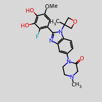 COc1cc(-c2nc3cc(N4CCN(C)CC4=O)ccc3n2C2(C)COC2)c(F)c(O)c1O